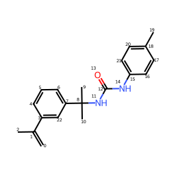 C=C(C)c1cccc(C(C)(C)NC(=O)Nc2ccc(C)cc2)c1